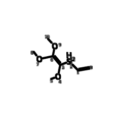 C=C[SiH2]C(OC)=C(OC)OC